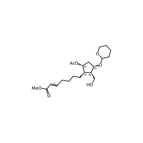 COC(=O)/C=C/CCCC[C@@H]1[C@H](CO)[C@H](OC2CCCCO2)C[C@@H]1OC(C)=O